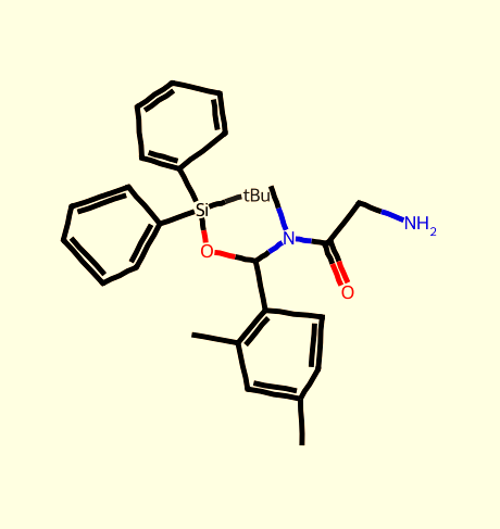 Cc1ccc(C(O[Si](c2ccccc2)(c2ccccc2)C(C)(C)C)N(C)C(=O)CN)c(C)c1